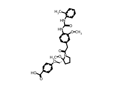 COc1cc(CC(=O)N2CCC[C@@]2(COc2ccc(C(=O)O)cc2)OC)ccc1NC(=O)Nc1ccccc1C